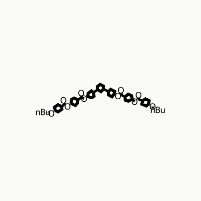 CCCCOc1ccc(C(=O)Oc2ccc(C(=O)Oc3ccc(-c4cccc(-c5ccc(OC(=O)c6ccc(OC(=O)c7ccc(OCCCC)cc7)cc6)cc5)c4)cc3)cc2)cc1